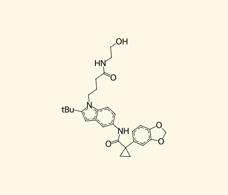 CC(C)(C)c1cc2cc(NC(=O)C3(c4ccc5c(c4)OCO5)CC3)ccc2n1CCCC(=O)NCCO